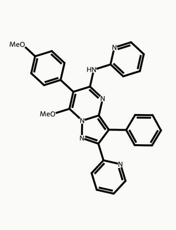 COc1ccc(-c2c(Nc3ccccn3)nc3c(-c4ccccc4)c(-c4ccccn4)nn3c2OC)cc1